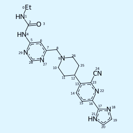 CCNC(=O)Nc1cc(CN2CCC(c3ccc(-c4ncc[nH]4)nc3C#N)CC2)ncn1